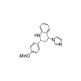 COc1ccc(C2CC(n3ccnc3)c3ccccc3N2)cc1